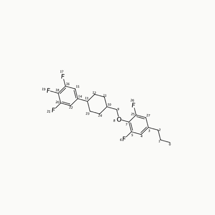 CCCc1cc(F)c(OCC2CCC(c3cc(F)c(F)c(F)c3)CC2)c(F)c1